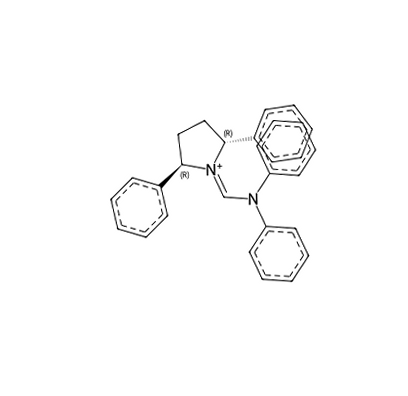 C(N(c1ccccc1)c1ccccc1)=[N+]1[C@@H](c2ccccc2)CC[C@@H]1c1ccccc1